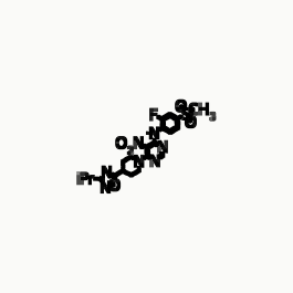 CC(C)c1noc(C2CCN(c3ncnc([N]c4ccc(S(C)(=O)=O)cc4F)c3[N+](=O)[O-])CC2)n1